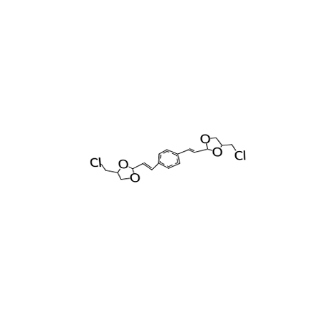 ClCC1COC(C=Cc2ccc(C=CC3OCC(CCl)O3)cc2)O1